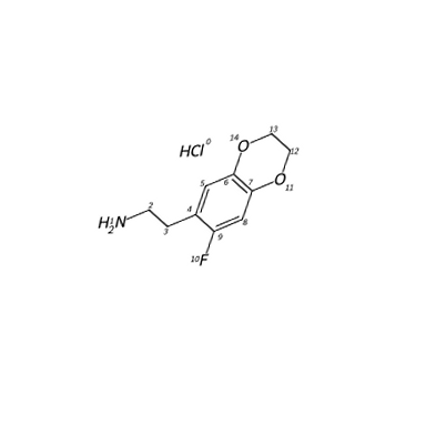 Cl.NCCc1cc2c(cc1F)OCCO2